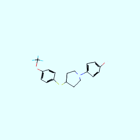 Oc1ccc(N2CCC(Sc3ccc(OC(F)(F)F)cc3)CC2)cc1